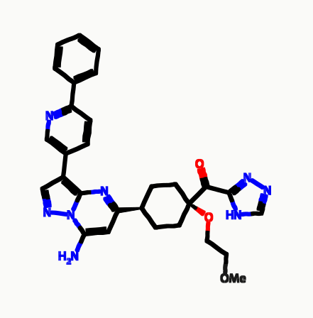 COCCO[C@]1(C(=O)c2nnc[nH]2)CC[C@H](c2cc(N)n3ncc(-c4ccc(-c5ccccc5)nc4)c3n2)CC1